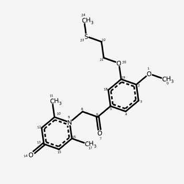 COc1ccc(C(=O)Cn2c(C)cc(=O)cc2C)cc1OCCSC